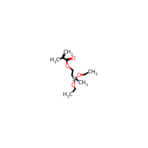 C=C(C)C(=O)OCC[Si](C)(OCC)OCC